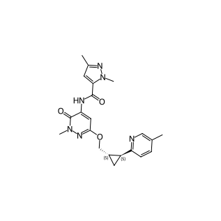 Cc1ccc([C@H]2C[C@@H]2COc2cc(NC(=O)c3cc(C)nn3C)c(=O)n(C)n2)nc1